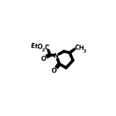 CCOC(=O)C(=O)N1CC(C)CCC1=O